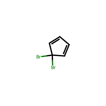 BrC1(Br)C=CC=C1